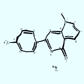 Cn1cccc2c(=O)nc(-c3ccc(C(F)(F)F)cc3)cc1-2.I